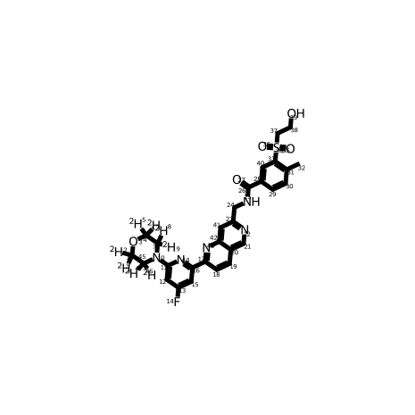 [2H]C1([2H])OC([2H])([2H])C([2H])([2H])N(c2cc(F)cc(-c3ccc4cnc(CNC(=O)c5ccc(C)c(S(=O)(=O)CCO)c5)cc4n3)n2)C1([2H])[2H]